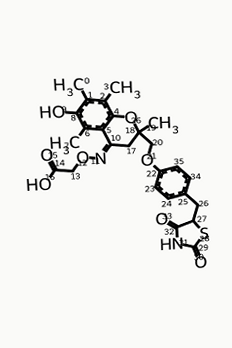 Cc1c(C)c2c(c(C)c1O)/C(=N\OCC(=O)O)CC(C)(COc1ccc(CC3SC(=O)NC3=O)cc1)O2